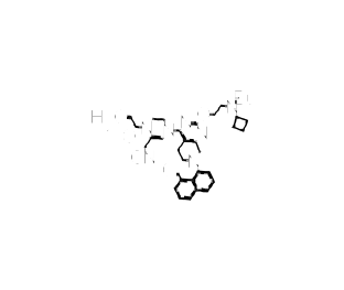 C=CC(=O)N1CCN(c2nc(OCCN(CC)C3CCC3)nc3c2CCN(c2cccc4cccc(Cl)c24)C3)C=C1CC#N